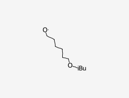 CCC(C)OCCCCCC[O]